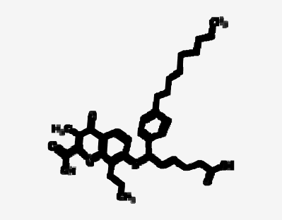 CCCCCCCCCc1ccc(C(CCCCC(=O)O)Sc2ccc3c(=O)c(C)c(C(=O)O)oc3c2CCC)cc1